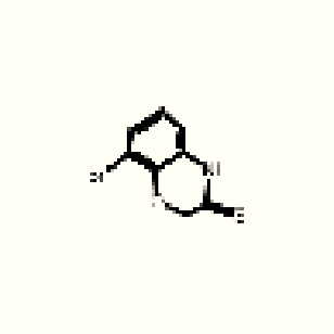 S=C1COc2c(Br)cccc2N1